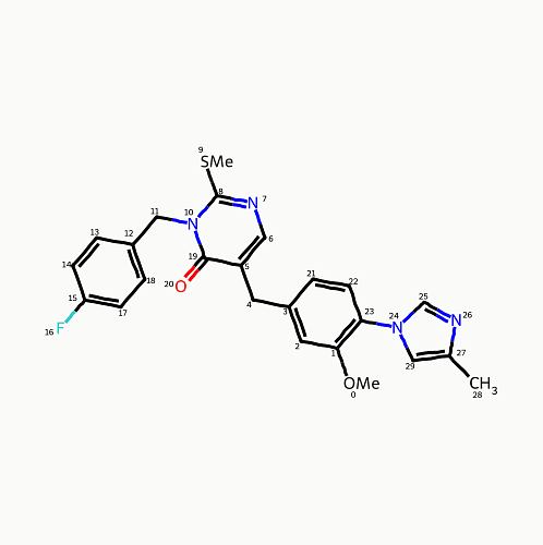 COc1cc(Cc2cnc(SC)n(Cc3ccc(F)cc3)c2=O)ccc1-n1cnc(C)c1